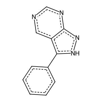 c1ccc(-c2[nH]nc3ncncc23)cc1